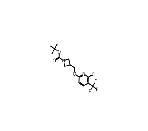 CC(C)(C)OC(=O)N1CC(COc2ccc(C(F)(F)F)c(Cl)n2)C1